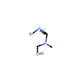 CC/N=C\N(C)CC=O